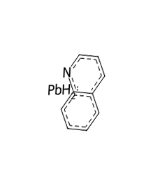 [PbH2].c1ccc2ncccc2c1